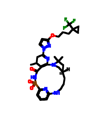 CC1CC(n2ccc(OCCCC3(C(F)(F)F)CC3)n2)=NC2=C1C(=O)NS(=O)(=O)c1cccc(n1)NCCC[C@@H]1CN2C(C)(C)C1